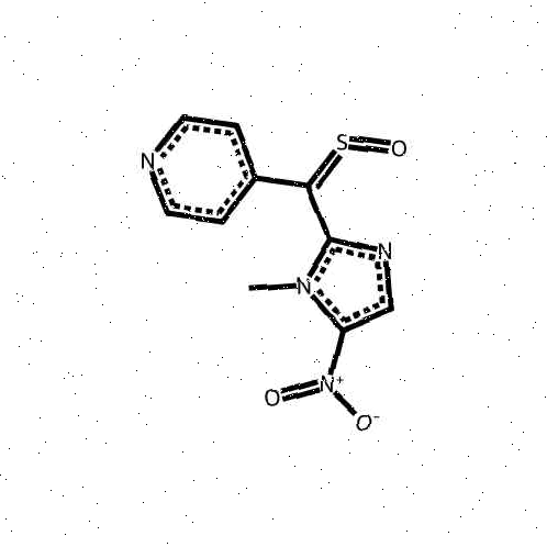 Cn1c([N+](=O)[O-])cnc1C(=S=O)c1ccncc1